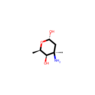 C[C@H]1O[C@H](O)C[C@@](C)(N)[C@H]1O